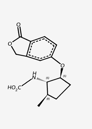 C[C@@H]1CC[C@H](Oc2ccc3c(c2)COC3=O)[C@H]1NC(=O)O